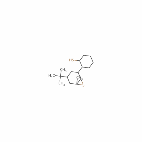 CC(C)(C)C1CC(C2CCCCC2S)C2SC2(C)C1